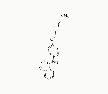 CCCCCCOc1ccc(Nc2ccnc3ccccc23)cc1